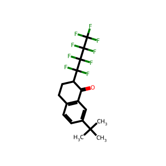 CC(C)(C)c1ccc2c(c1)C(=O)C(C(F)(F)C(F)(F)C(F)(F)C(F)(F)F)CC2